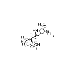 COc1cc2c(cc1OC)NC[C@H](OC(=O)N(C(C)C)N(C(=O)O)C(C)C)C2